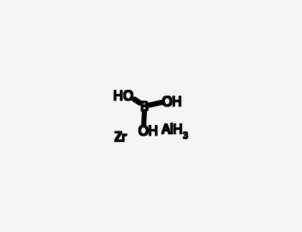 OB(O)O.[AlH3].[Zr]